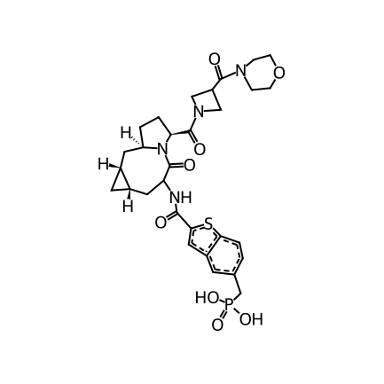 O=C(NC1C[C@@H]2C[C@@H]2C[C@H]2CC[C@@H](C(=O)N3CC(C(=O)N4CCOCC4)C3)N2C1=O)c1cc2cc(CP(=O)(O)O)ccc2s1